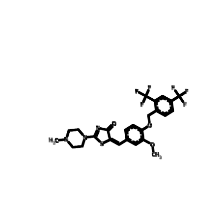 COc1cc(/C=C2/SC(N3CCN(C)CC3)=NC2=O)ccc1OCc1ccc(C(F)(F)F)cc1C(F)(F)F